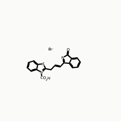 O=C1N=C(C=CCc2sc3ccccc3[n+]2C(=O)O)c2ccccc21.[Br-]